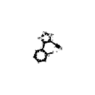 N#Cc1[nH]nnc1-c1ccccc1F